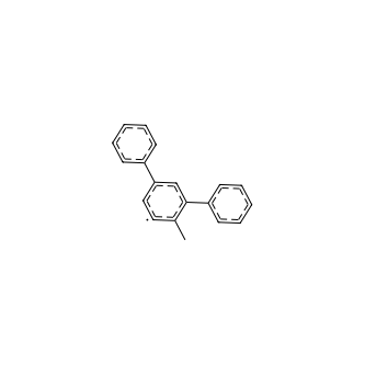 Cc1[c]cc(-c2ccccc2)cc1-c1ccccc1